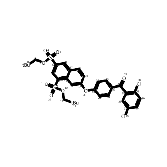 CC(C)(C)COS(=O)(=O)c1cc(S(=O)(=O)OCC(C)(C)C)c2cc(Oc3ccc(C(=O)c4cc(Cl)ccc4Cl)cc3)ccc2c1